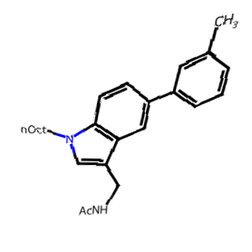 CCCCCCCCn1cc(CNC(C)=O)c2cc(-c3cccc(C)c3)ccc21